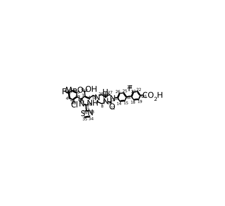 COC(O)C1=C(CN2CCN3C(=O)N(c4ccc(-c5ccc(C(=O)O)cc5F)cc4)C[C@@H]3C2)NC(c2nccs2)=N[C@H]1c1ccc(F)cc1Cl